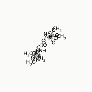 CCC(C)(C)[C@H](NC(=O)OC)C(=O)N1[C@@H](C)CC[C@H]1c1nc2ccc3cc4c(cc3c2[nH]1)OCc1cc(-c2cnc([C@@H]3C[C@H](COC)CN3C(=O)[C@@H](NC(=O)OC)C3CCOCC3)[nH]2)ccc1-4